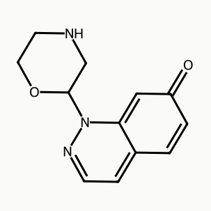 O=c1ccc2ccnn(C3CNCCO3)c-2c1